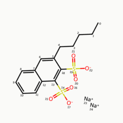 CCCCCc1cc2ccccc2c(S(=O)(=O)[O-])c1S(=O)(=O)[O-].[Na+].[Na+]